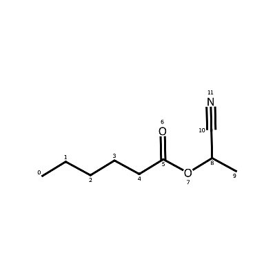 CCCCCC(=O)OC(C)C#N